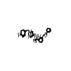 O=C(Nc1cnn(Cc2ccc(F)cc2)c1)c1cccc(COc2ccccc2)c1